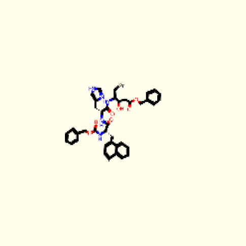 CC(C)CC(NC(=O)[C@@H](Cc1c[nH]cn1)NC(=O)[C@H](Cc1cccc2ccccc12)NC(=O)OCc1ccccc1)C(O)CC(=O)OCc1ccccc1